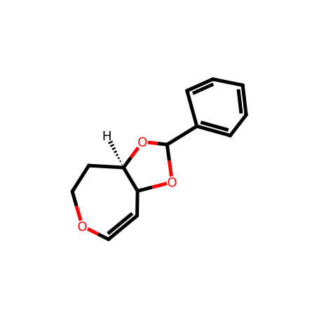 C1=CC2OC(c3ccccc3)O[C@@H]2CCO1